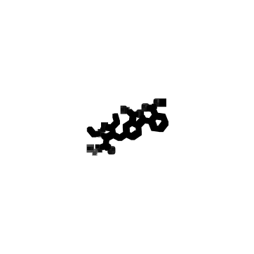 CCc1nn(CC)c(C(N)=O)c1Cc1ccc2c(-c3ccccc3C(=O)O)oc(Br)c2c1